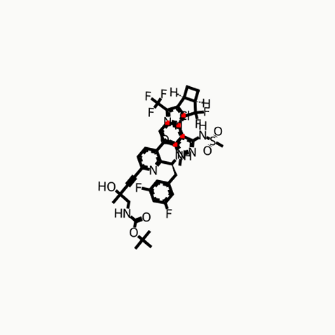 Cn1nc(NS(C)(=O)=O)c2c(Cl)ccc(-c3ccc(C#CC(C)(O)CNC(=O)OC(C)(C)C)nc3[C@H](Cc3cc(F)cc(F)c3)NC(=O)Cn3nc(C(F)(F)F)c4c3C(F)(F)[C@@H]3CC[C@H]43)c21